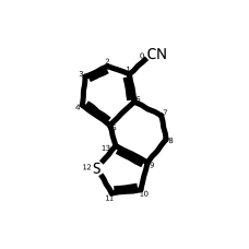 N#Cc1cccc2c1CCc1ccsc1-2